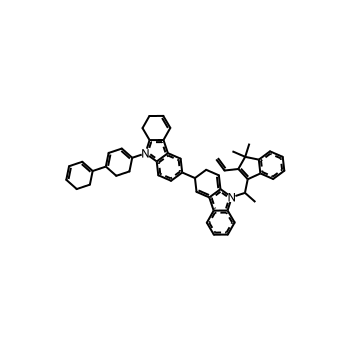 C=CC1=C(C(C)n2c3c(c4ccccc42)=CC(c2ccc4c(c2)c2c(n4C4=CC=C(C5=CC=CCC5)CC4)CCC=C2)CC=3)c2ccccc2C1(C)C